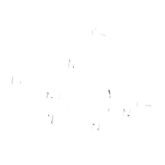 COc1cc(C[C@@H]2CN(Cc3cnc(NC(C)=O)s3)CCN2C)ccn1